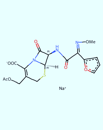 CON=C(C(=O)N[C@@H]1C(=O)N2C(C(=O)[O-])=C(COC(C)=O)CS[C@H]12)c1ccco1.[Na+]